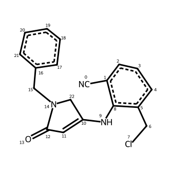 N#Cc1cccc(CCl)c1NC1=CC(=O)N(Cc2ccccc2)C1